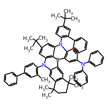 Cc1cc(-c2ccccc2)ccc1N1c2cc3c(cc2B2c4cc(N(c5ccccc5)c5ccccc5)ccc4N(c4ccc(C(C)(C)C)cc4-c4ccccc4)c4cc(C(C)(C)C)cc1c42)C(C)(C)CCC3(C)C